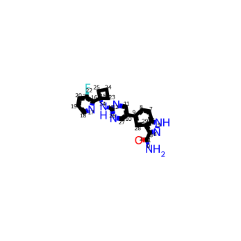 NC(=O)c1n[nH]c2ccc(-c3cnc(NC4(c5ncccc5F)CCC4)nc3)cc12